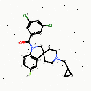 O=C(c1cc(Cl)cc(Cl)c1)N1CC2(CCN(CC3CC3)CC2)c2cc(F)ccc21